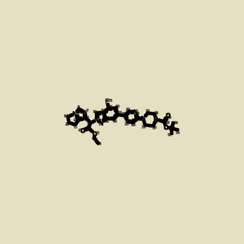 CCOC(=O)C(c1ncn2c1CCC2)n1cc2c(F)cc(-c3ccc(N4CCN(C(=O)OC(C)(C)C)CC4)nc3)cc2n1